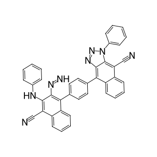 N#Cc1c(Nc2ccccc2)c(N=N)c(-c2ccc(-c3c4ccccc4c(C#N)c4c3nnn4-c3ccccc3)cc2)c2ccccc12